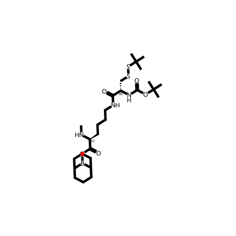 CN[C@@H](CCCCNC(=O)[C@H](CSSC(C)(C)C)NC(=O)OC(C)(C)C)C(=O)OB1C2CCCC1CCC2